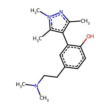 Cc1nn(C)c(C)c1-c1cc(CCN(C)C)ccc1O